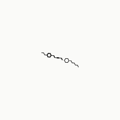 CCCCCC[C@H]1CC[C@H](C=CC#CC=Cc2ccc(CCC)cc2)CC1